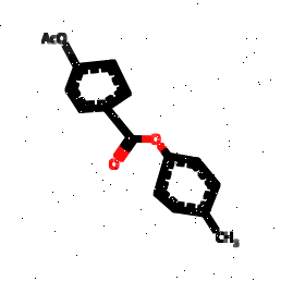 CC(=O)Oc1ccc(C(=O)Oc2ccc(C)cc2)cc1